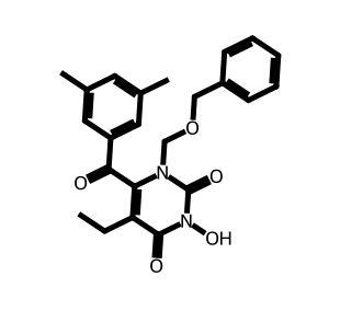 CCc1c(C(=O)c2cc(C)cc(C)c2)n(COCc2ccccc2)c(=O)n(O)c1=O